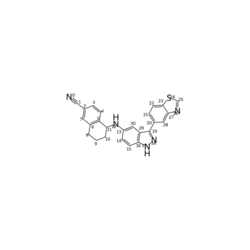 N#Cc1ccc2c(c1)CCCC2Nc1ccc2[nH]nc(-c3ccc4scnc4c3)c2c1